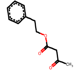 CC(=O)CC(=O)OCCc1ccccc1